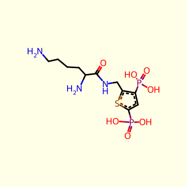 NCCCCC(N)C(=O)NCc1sc(P(=O)(O)O)cc1P(=O)(O)O